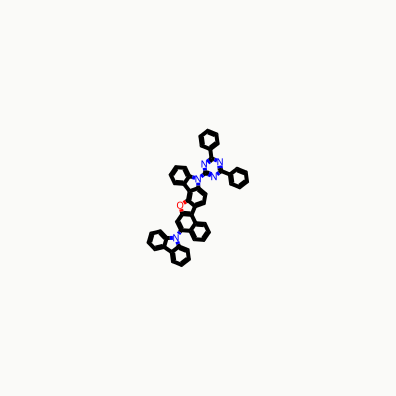 c1ccc(-c2nc(-c3ccccc3)nc(-n3c4ccccc4c4c5oc6cc(-n7c8ccccc8c8ccccc87)c7ccccc7c6c5ccc43)n2)cc1